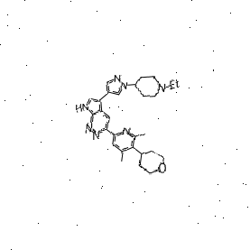 CCN1CCC(n2cc(-c3c[nH]c4nnc(-c5cc(C)c(C6CCOCC6)c(C)n5)cc34)cn2)CC1